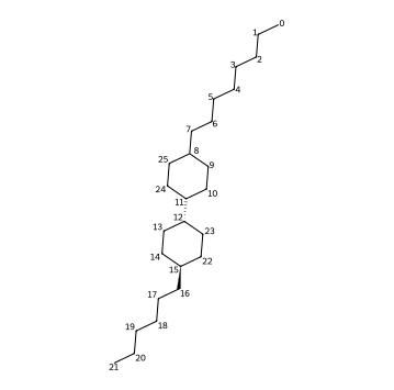 CCCCCCCCC1CCC([C@H]2CC[C@H](CCCCCC)CC2)CC1